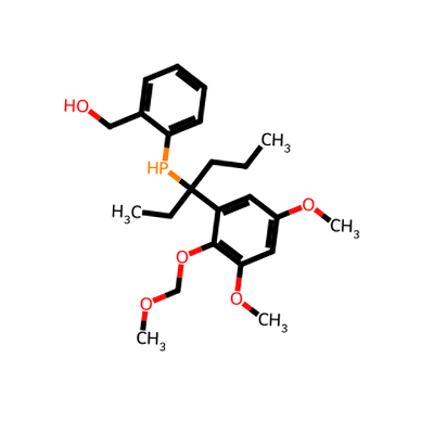 CCCC(CC)(Pc1ccccc1CO)c1cc(OC)cc(OC)c1OCOC